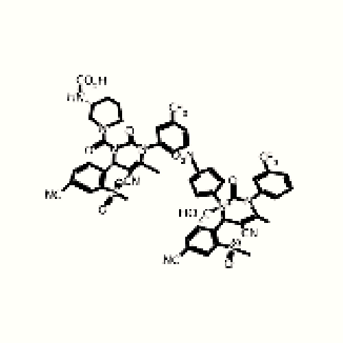 CC1=C(C#N)C(c2ccc(C#N)cc2S(C)(=O)=O)[N+](C(=O)O)(c2ccc([N+](=O)[O-])cc2)C(=O)N1c1cccc(C(F)(F)F)c1.CC1=C(C#N)[C@@H](c2ccc(C#N)cc2S(C)(=O)=O)N(C(=O)N2CCC[C@@H](NC(=O)O)C2)C(=O)N1c1cccc(C(F)(F)F)c1